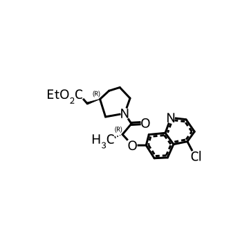 CCOC(=O)C[C@H]1CCCN(C(=O)[C@@H](C)Oc2ccc3c(Cl)ccnc3c2)C1